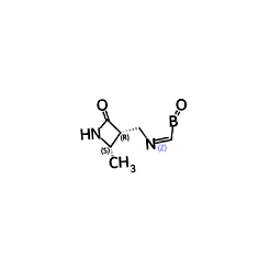 C[C@@H]1NC(=O)[C@@H]1C/N=C\B=O